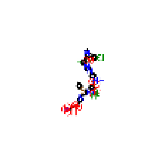 CC(C)N1C=C(c2cc(F)cc(N3CCN(c4ccc(NS(=O)(=O)c5ccc(NC(CCN6CCC(C(=O)OCCCP(=O)(O)O)CC6)CSc6ccccc6)c(S(=O)(=O)C(F)(F)F)c5)cc4)CC3)c2)C(c2ccc(Cl)cc2)(S(C)(=O)=O)C1C